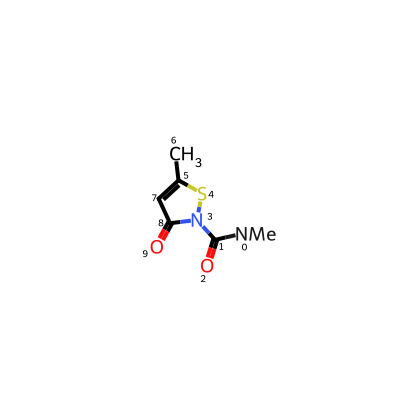 CNC(=O)n1sc(C)cc1=O